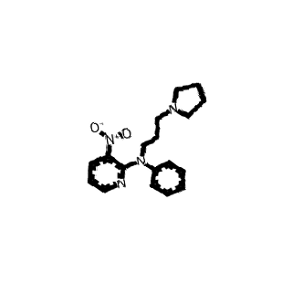 O=[N+]([O-])c1cccnc1N(CCCN1CCCC1)c1ccccc1